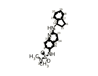 CN(C)S(=O)(=O)Nc1ccc2nc(N[C@@H]3CCc4ccccc43)ccc2c1